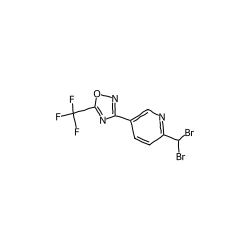 FC(F)(F)c1nc(-c2ccc(C(Br)Br)nc2)no1